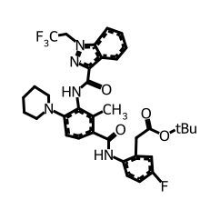 Cc1c(C(=O)Nc2ccc(F)cc2CC(=O)OC(C)(C)C)ccc(N2CCCCC2)c1NC(=O)c1nn(CC(F)(F)F)c2ccccc12